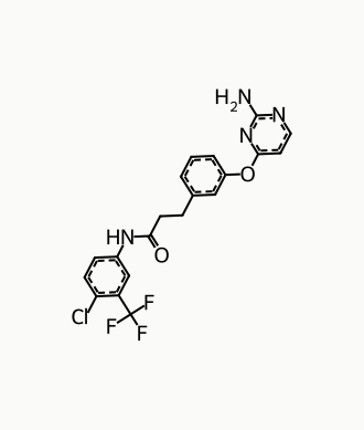 Nc1nccc(Oc2cccc(CCC(=O)Nc3ccc(Cl)c(C(F)(F)F)c3)c2)n1